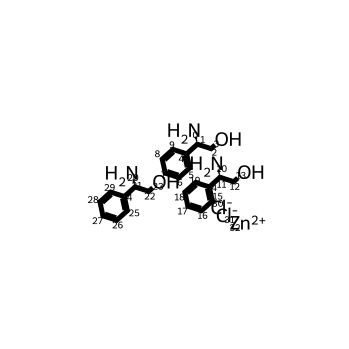 N[C@H](CO)c1ccccc1.N[C@H](CO)c1ccccc1.N[C@H](CO)c1ccccc1.[Cl-].[Cl-].[Zn+2]